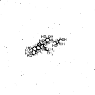 CC(C)=CCCC(C)(OC1OC(COC2OC(CO)C(O)C2O)C(O)C(O)C1O)C1CCC2(C)C1C(O)CC1C3(C)CCC(O)C(C)(C)C3C(O)CC12C